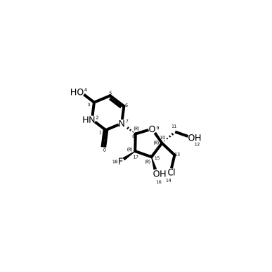 C=C1NC(O)C=CN1[C@@H]1O[C@@](CO)(CCl)[C@@H](O)[C@H]1F